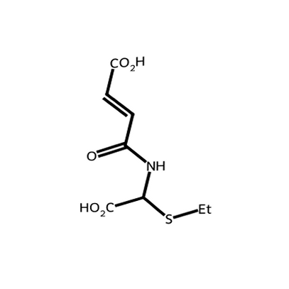 CCSC(NC(=O)C=CC(=O)O)C(=O)O